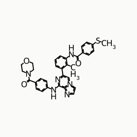 CSc1ccc(C(=O)Nc2cccc(-c3cn4ccnc4c(Nc4ccc(C(=O)N5CCOCC5)cc4)n3)c2C)cc1